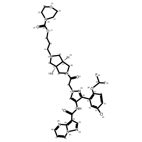 O=C(Nc1cn(CC(=O)N2C[C@H]3CN(CCCOC(=O)N4CCOCC4)C[C@H]3C2)nc1-c1cc(Cl)ccc1OC(F)F)c1cnn2cccnc12